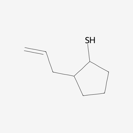 C=CCC1CCCC1S